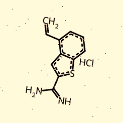 C=Cc1cccc2sc(C(=N)N)cc12.Cl